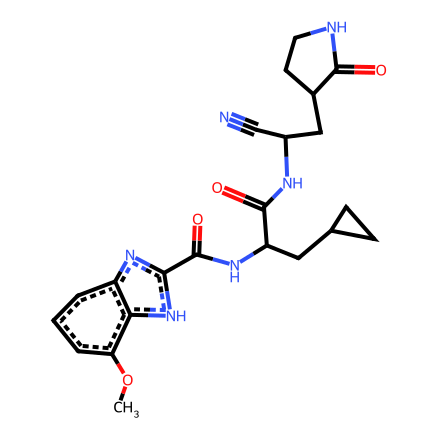 COc1cccc2nc(C(=O)NC(CC3CC3)C(=O)NC(C#N)CC3CCNC3=O)[nH]c12